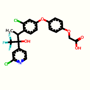 CC(c1ccc(Oc2ccc(OCC(=O)O)cc2)cc1Cl)C(O)(c1ccnc(Cl)c1)C(F)(F)F